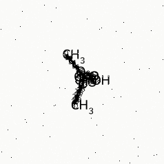 CCCCCCCCOC(=O)c1ccc(S(=O)(=O)O)cc1C(=O)OCCCCCCCC